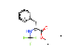 COC(=O)[C@H](Cc1ccccc1)NC(F)(F)F